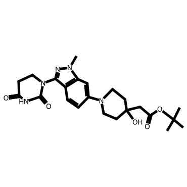 Cn1nc(N2CCC(=O)NC2=O)c2ccc(N3CCC(O)(CC(=O)OC(C)(C)C)CC3)cc21